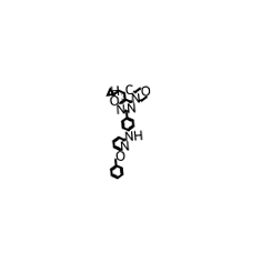 C[C@H]1COCCN1c1nc(-c2ccc(Nc3cccc(OCc4ccccc4)n3)cc2)nc2c1CCC1(CC1)O2